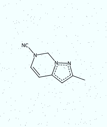 Cc1cc2n(n1)CN(C#N)C=C2